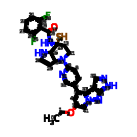 CCOc1cc(-c2ccc(N3CC[C@@](S)(NC(=O)c4c(F)cccc4F)C4NC=CC43)nc2)c2c3cn[nH]c3nn2c1